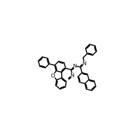 C=N/C(=N\C(=N/Cc1ccccc1)c1ccc2ccccc2c1)c1ccc(-c2ccccc2)c2oc3ccccc3c12